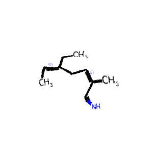 C/C=C(/CC)C/C=C(/C)C=N